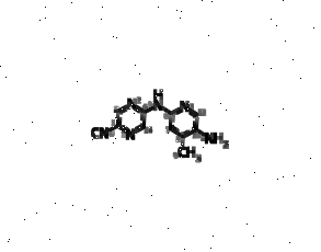 [C-]#[N+]c1cnc(Nc2cc(C)c(N)cn2)cn1